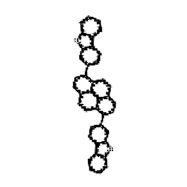 c1ccc2c(c1)oc1cc(-c3ccc4ccc5c(-c6ccc7c(c6)oc6ccccc67)ccc6ccc3c4c65)ccc12